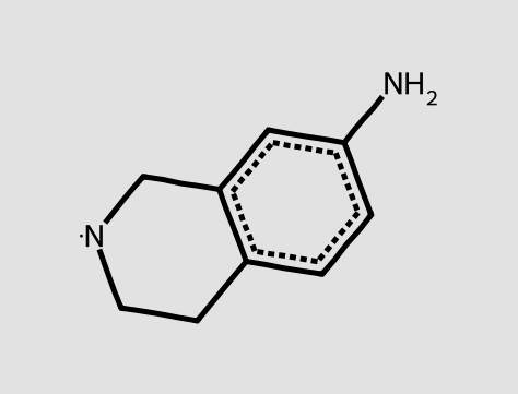 Nc1ccc2c(c1)C[N]CC2